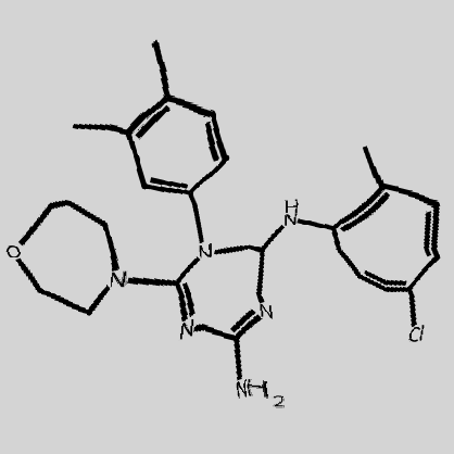 Cc1ccc(N2C(N3CCOCC3)=NC(N)=NC2Nc2cc(Cl)ccc2C)cc1C